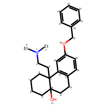 CCN(CC)CCC12CCCCC1(O)CCc1ccc(OCc3ccccc3)cc12